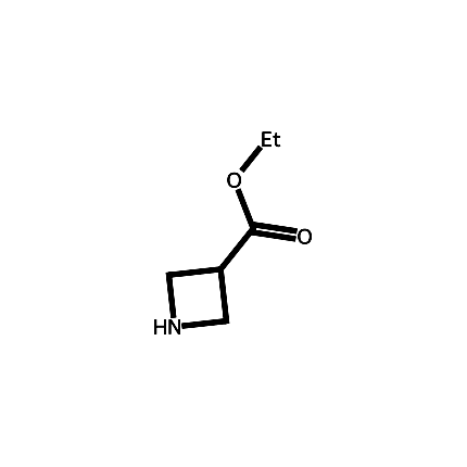 [CH2]COC(=O)C1CNC1